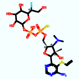 C=CSc1c(N)ncnc1C1O[C@H](COP(=O)(S)OP(=O)(O)OC2OC([C@@H](F)CO)C(O)C(O)C2O)[C@@H](N(C)C)[C@@]1(C)O